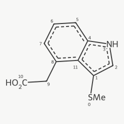 CSc1c[nH]c2cccc(CC(=O)O)c12